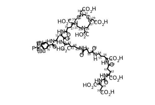 CC(C)(C)[Si](F)(c1ccc(C(=O)NCC[C@H](NC(=O)CC[C@H](C(=O)O)N2CCN(CC(=O)O)CCN(CC(=O)O)CCN(CC(=O)O)CC2)C(=O)N[C@@H](CCCCNC(=O)CCC(=O)NCCC[C@@H](NC(=O)CC[C@H](NC(=O)N[C@@H](CCC(=O)O)C(=O)O)C(=O)O)C(=O)O)C(=O)O)cc1)C(C)(C)C